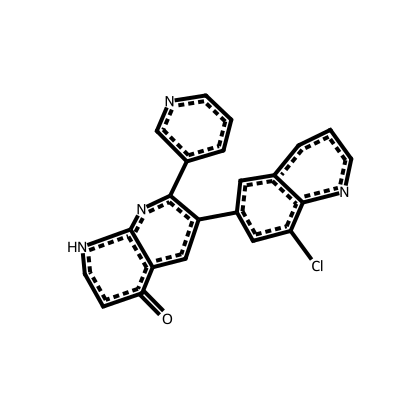 O=c1cc[nH]c2nc(-c3cccnc3)c(-c3cc(Cl)c4ncccc4c3)cc12